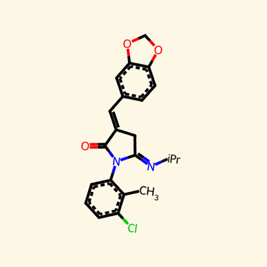 Cc1c(Cl)cccc1N1C(=O)/C(=C/c2ccc3c(c2)OCO3)C/C1=N\C(C)C